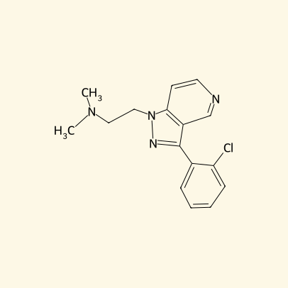 CN(C)CCn1nc(-c2ccccc2Cl)c2cnccc21